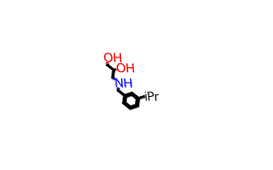 CC(C)c1cccc(CNCC(O)CO)c1